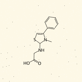 CN1C(c2ccccc2)=CSC1NCC(=O)O